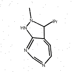 CC(C)C1C2=C=CN=CN=C2NN1C